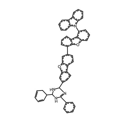 C1=CCC(C2NC(c3ccccc3)=NC(c3ccc4c(c3)oc3cc(-c5cccc6c5oc5cccc(-n7c8ccccc8c8ccccc87)c56)ccc34)N2)C=C1